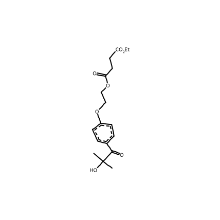 CCOC(=O)CCC(=O)OCCOc1ccc(C(=O)C(C)(C)O)cc1